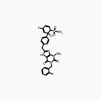 CCCCn1c(=O)n(Cc2ccccc2F)c(=O)c2[nH]c(Cc3ccc(C4(Cl)C=C(F)C=CC4S(N)(=O)=O)cc3)nc21